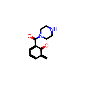 C=C1C=CC=C(C(=O)N2CCNCC2)C1=O